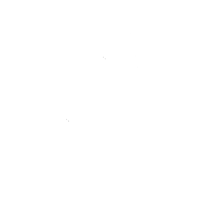 C1=Cc2cc([C@H](c3ccccc3)c3cc(-c4ccc5c(c4)c4c6ccccc6c6ccccc6c4n5-c4ccccc4)cc(N(c4ccccc4)c4ccc5ccccc5c4)c3)ccc2CC1